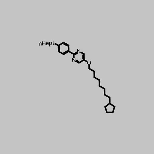 CCCCCCCc1ccc(-c2ncc(OCCCCCCCCC3CCCC3)cn2)cc1